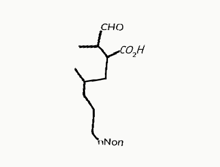 CCCCCCCCCCCCC(C)CC(C(=O)O)C(C)C=O